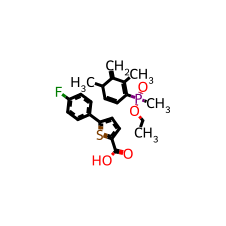 C=C1C(C)=C(P(C)(=O)OCC)C=CC1C.O=C(O)c1ccc(-c2ccc(F)cc2)s1